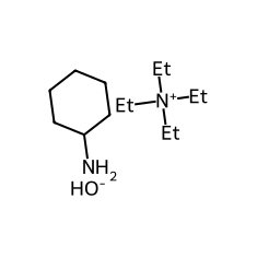 CC[N+](CC)(CC)CC.NC1CCCCC1.[OH-]